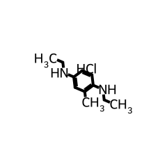 CCNc1ccc(NCC)c(C)c1.Cl